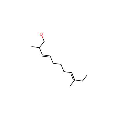 CCC(C)=CCCCC=CC(C)C[O]